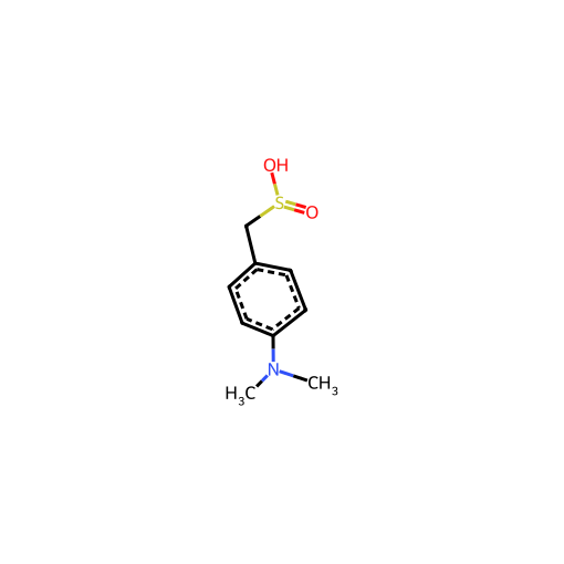 CN(C)c1ccc(CS(=O)O)cc1